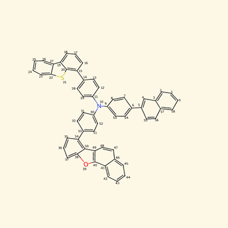 c1ccc2cc(-c3ccc(N(c4ccc(-c5cccc6c5sc5ccccc56)cc4)c4ccc(-c5cccc6oc7c8ccccc8ccc7c56)cc4)cc3)ccc2c1